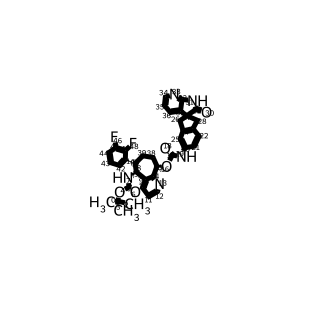 CC(C)(C)OC(=O)N[C@@H]1c2cccnc2[C@H](OC(=O)Nc2ccc3c(c2)CC2(C3)C(=O)Nc3ncccc32)CC[C@H]1c1cccc(F)c1F